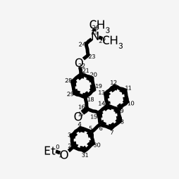 CCOc1ccc(-c2ccc3ccccc3c2C(=O)c2ccc(OCCN(C)C)cc2)cc1